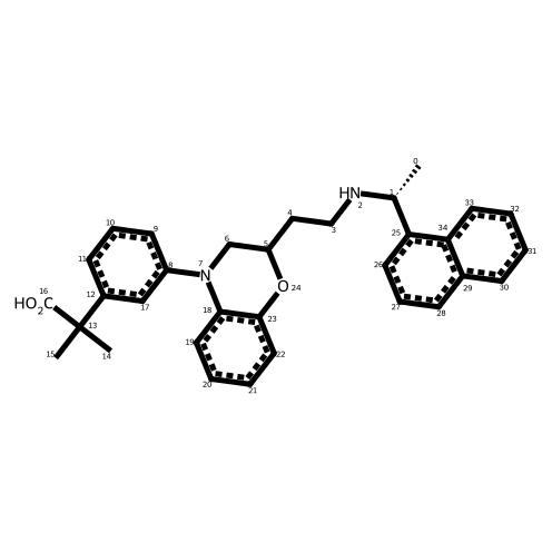 C[C@@H](NCCC1CN(c2cccc(C(C)(C)C(=O)O)c2)c2ccccc2O1)c1cccc2ccccc12